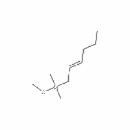 CCCC=CC[Si](C)(C)OC